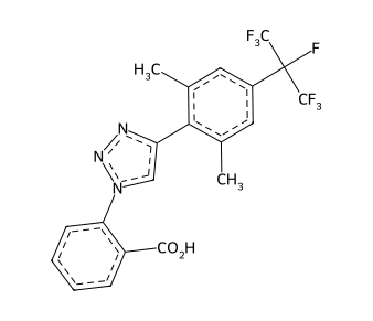 Cc1cc(C(F)(C(F)(F)F)C(F)(F)F)cc(C)c1-c1cn(-c2ccccc2C(=O)O)nn1